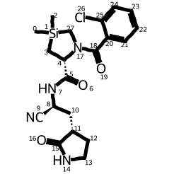 C[Si]1(C)C[C@@H](C(=O)N[C@H](C#N)C[C@@H]2CCNC2=O)N(C(=O)c2ccccc2Cl)C1